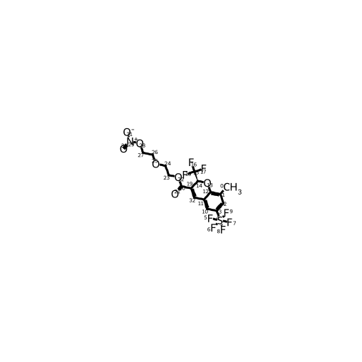 Cc1cc(S(F)(F)(F)(F)F)cc2c1O[C@H](C(F)(F)F)C(C(=O)OCCOCCO[N+](=O)[O-])=C2